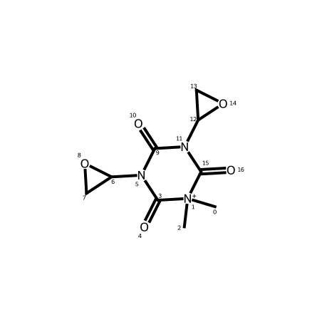 C[N+]1(C)C(=O)N(C2CO2)C(=O)N(C2CO2)C1=O